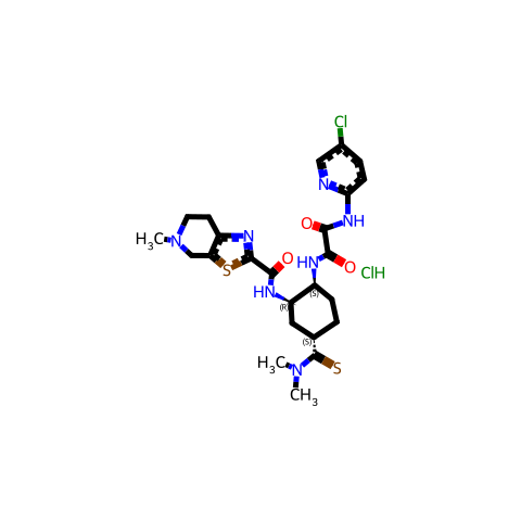 CN1CCc2nc(C(=O)N[C@@H]3C[C@@H](C(=S)N(C)C)CC[C@@H]3NC(=O)C(=O)Nc3ccc(Cl)cn3)sc2C1.Cl